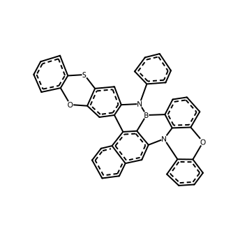 c1ccc(N2B3c4cccc5c4N(c4ccccc4O5)c4cc5ccccc5c(c43)-c3cc4c(cc32)Sc2ccccc2O4)cc1